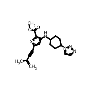 C=C(C)C#Cc1cc(NC2CCC(n3ccnn3)CC2)c(C(=O)OC)s1